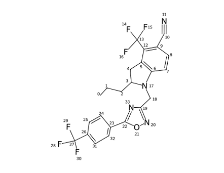 CCCC1Cc2c(ccc(C#N)c2C(F)(F)F)N1Cc1noc(-c2ccc(C(F)(F)F)cc2)n1